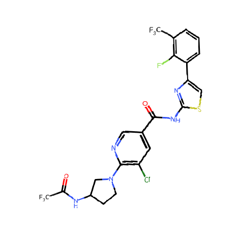 O=C(Nc1nc(-c2cccc(C(F)(F)F)c2F)cs1)c1cnc(N2CCC(NC(=O)C(F)(F)F)C2)c(Cl)c1